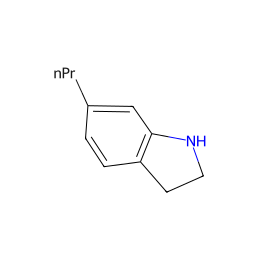 CCCc1ccc2c(c1)NCC2